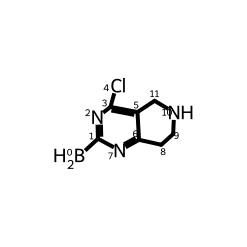 Bc1nc(Cl)c2c(n1)CCNC2